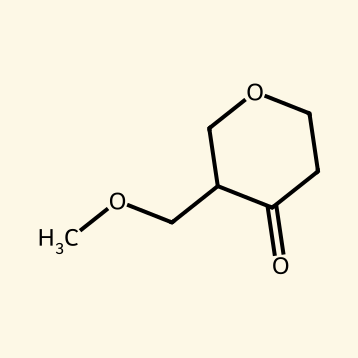 COCC1COCCC1=O